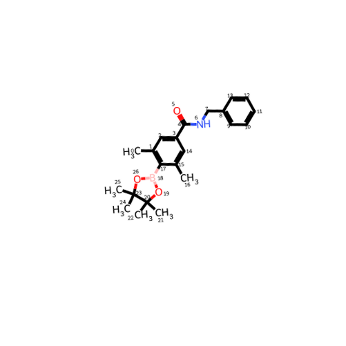 Cc1cc(C(=O)NCc2ccccc2)cc(C)c1B1OC(C)(C)C(C)(C)O1